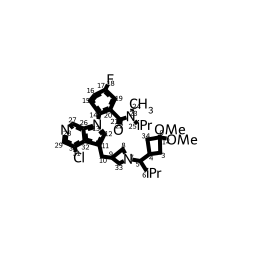 COC1(OC)CC(C(C(C)C)N2CC(Cc3cn(-c4ccc(F)cc4C(=O)N(C)C(C)C)c4cncc(Cl)c34)C2)C1